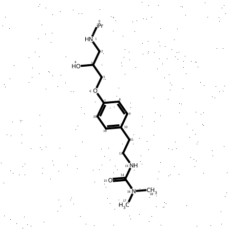 CC(C)NCC(O)COc1ccc(CCNC(=O)N(C)C)cc1